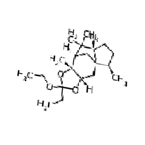 CCOC1(CC)O[C@H]2C[C@@]34C[C@H](C(C)(C)[C@@H]3CC[C@H]4C)[C@@]2(C)O1